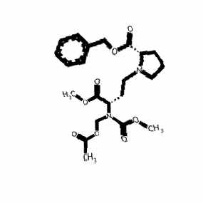 COC(=O)[C@H](CCN1CCC[C@H]1C(=O)OCc1ccccc1)N(COC(C)=O)C(=O)OC